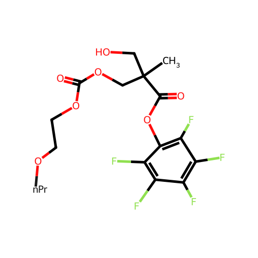 CCCOCCOC(=O)OCC(C)(CO)C(=O)Oc1c(F)c(F)c(F)c(F)c1F